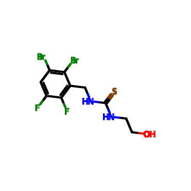 OCCNC(=S)NCc1c(F)c(F)cc(Br)c1Br